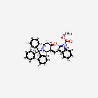 CC(C)(C)OC(=O)n1cc(/C=C2/CN(C(c3ccccc3)(c3ccccc3)c3ccccc3)CCC2=O)c2ccccc21